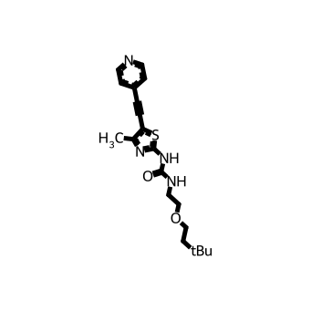 Cc1nc(NC(=O)NCCOCCC(C)(C)C)sc1C#Cc1ccncc1